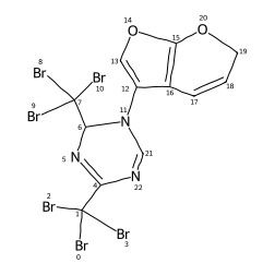 BrC(Br)(Br)C1=NC(C(Br)(Br)Br)N(c2coc3c2C=CCO3)C=N1